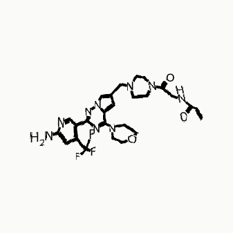 C=CC(=O)NCC(=O)N1CCN(Cc2cc3c(N4CCOCC4)nc(-c4cnc(N)cc4C(F)(F)F)nn3c2)CC1